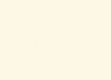 CP(C)CCCC1(P)CCCCC1CCP(C)C